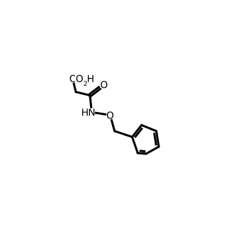 O=C(O)CC(=O)NOCc1ccccc1